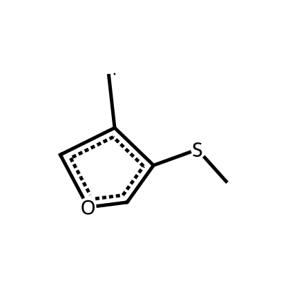 [CH2]c1cocc1SC